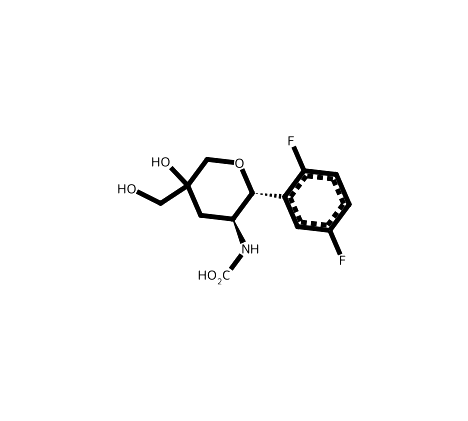 O=C(O)N[C@H]1CC(O)(CO)CO[C@@H]1c1cc(F)ccc1F